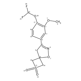 COc1cc(C2=NOC3(C2)CS(=O)(=O)C3)ccc1OC(F)F